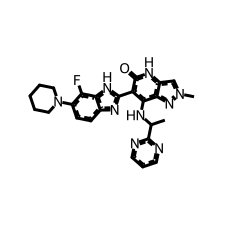 CC(Nc1c(-c2nc3ccc(N4CCCCC4)c(F)c3[nH]2)c(=O)[nH]c2cn(C)nc12)c1ncccn1